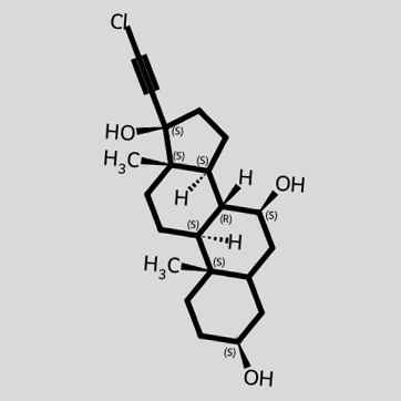 C[C@]12CC[C@H](O)CC1C[C@H](O)[C@@H]1[C@@H]2CC[C@@]2(C)[C@H]1CC[C@@]2(O)C#CCl